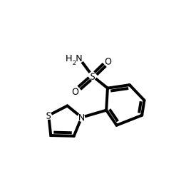 NS(=O)(=O)c1ccccc1N1C=CSC1